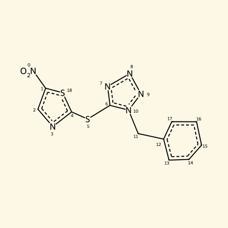 O=[N+]([O-])c1cnc(Sc2nnnn2Cc2ccccc2)s1